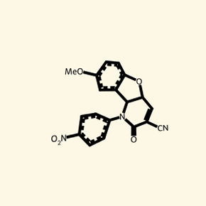 COc1ccc2c(c1)C1C(C=C(C#N)C(=O)N1c1ccc([N+](=O)[O-])cc1)O2